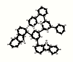 c1ccc(-c2cc(-c3ccccc3-c3cccnc3)nc(-c3cc(-c4cccc5c4oc4ccccc45)cc(-c4cccc5c4oc4ccccc45)c3)n2)cc1